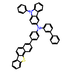 c1ccc(-c2cccc(N(c3ccc(-c4ccc5c(ccc6c7ccccc7sc56)c4)cc3)c3ccc4c(c3)c3ccccc3n4-c3ccccc3)c2)cc1